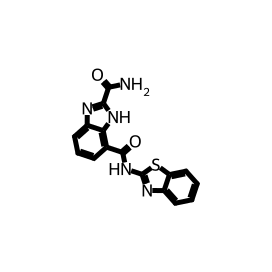 NC(=O)c1nc2cccc(C(=O)Nc3nc4ccccc4s3)c2[nH]1